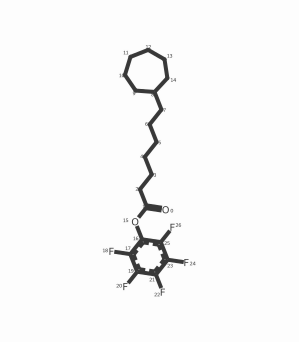 O=C(CCCCCCC1CCCCCC1)Oc1c(F)c(F)c(F)c(F)c1F